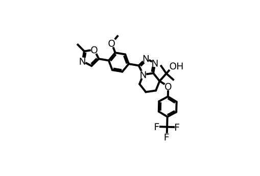 COc1cc(-c2nnc3n2CCCC3(Oc2ccc(C(F)(F)F)cc2)C(C)(C)O)ccc1-c1cnc(C)o1